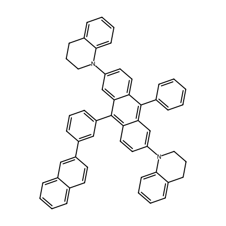 c1ccc(-c2c3ccc(N4CCCc5ccccc54)cc3c(-c3cccc(-c4ccc5ccccc5c4)c3)c3ccc(N4CCCc5ccccc54)cc23)cc1